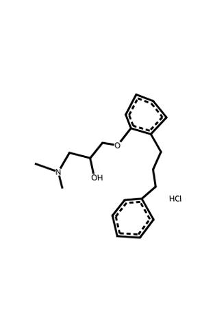 CN(C)CC(O)COc1ccccc1CCCc1ccccc1.Cl